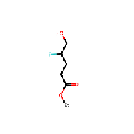 CCOC(=O)CCC(F)CO